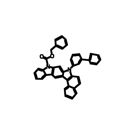 O=C(OCc1ccccc1)n1c2ccccc2c2cc3c4c5ccccc5ccc4n(-c4cccc(-c5ccccc5)c4)c3cc21